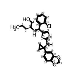 CCC[C@@H](CO)NC(c1cnc(NC2(c3ccc4c(c3)OCO4)CC2)s1)c1ccccc1Cl